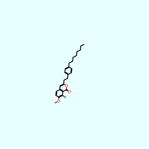 CCCCCCCCc1ccc(CCc2cc3ccc(OC)c(F)c3c(=O)o2)cc1